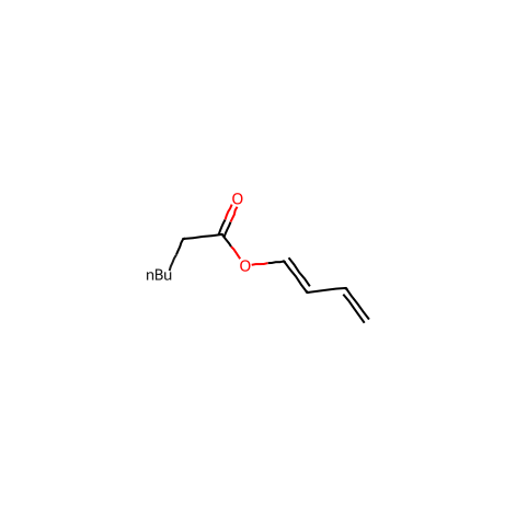 C=CC=COC(=O)CCCCC